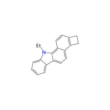 CCn1c2ccccc2c2ccc3c4c(ccc3c21)CC4